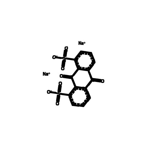 O=C1c2cccc(S(=O)(=O)[O-])c2C(=O)c2c1cccc2S(=O)(=O)[O-].[Na+].[Na+]